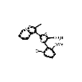 COc1cccc(Cl)c1-c1nc(-c2c(C)nn3ccccc23)sc1C(=O)O